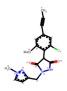 CC#Cc1cc(Cl)c(C2C(=O)NN(Cc3ccn(C)n3)C2=O)c(OC)c1